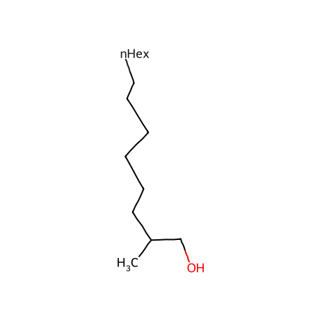 CCCCCCCCCCCCC(C)CO